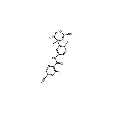 Cc1cc(C#N)cnc1C(=O)Nc1ccc(F)c([C@@]2(C)N=C(N)OC[C@H]2F)c1